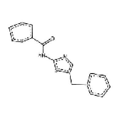 O=C(Nc1ncc(Cc2ccccc2)s1)c1ccccc1